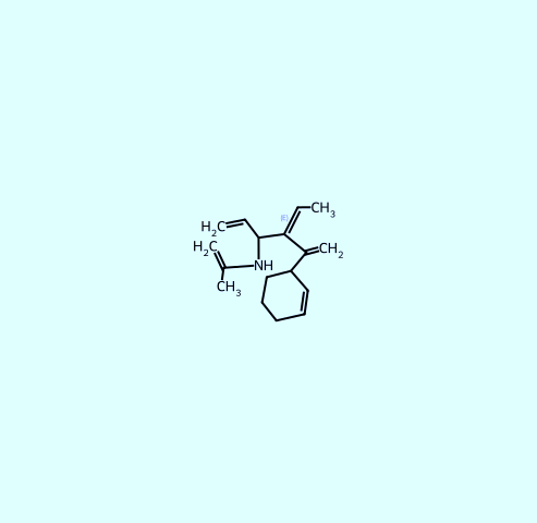 C=CC(NC(=C)C)/C(=C/C)C(=C)C1C=CCCC1